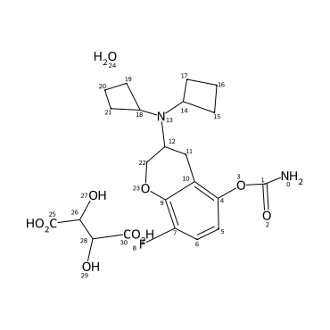 NC(=O)Oc1ccc(F)c2c1CC(N(C1CCC1)C1CCC1)CO2.O.O=C(O)C(O)C(O)C(=O)O